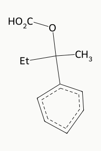 CCC(C)(OC(=O)O)c1ccccc1